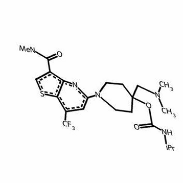 CNC(=O)c1csc2c(C(F)(F)F)cc(N3CCC(CN(C)C)(OC(=O)NC(C)C)CC3)nc12